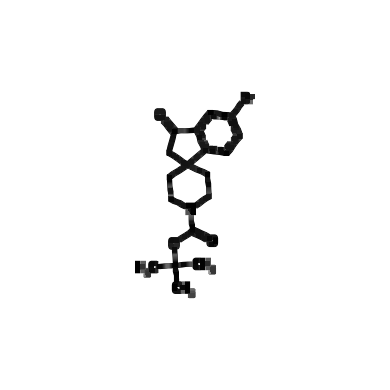 CC(C)(C)OC(=O)N1CCC2(CC1)CC(=O)c1cc(Br)ccc12